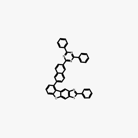 c1ccc(-c2nc(-c3ccccc3)nc(-c3ccc4cc(-c5cccc6oc7cc8sc(-c9ccccc9)nc8cc7c56)ccc4c3)n2)cc1